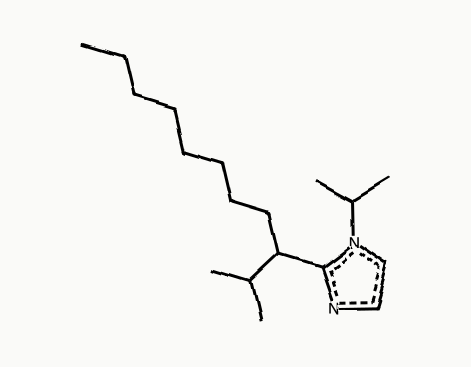 CCCCCCCCC(c1nccn1C(C)C)C(C)C